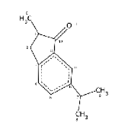 CC1Cc2ccc(C(C)C)cc2C1=O